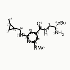 CCCC[C@H](N)CNC(=O)c1cc(NC)nc(NCC2CC2C)c1